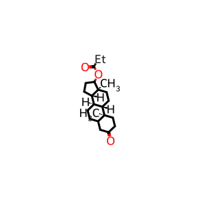 CCC(=O)OC1CC[C@H]2[C@@H]3CCC4CC(=O)CC[C@]4(C)[C@H]3CC[C@]12C